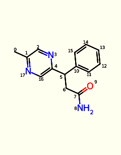 Cc1cnc(C(CC(N)=O)c2ccccc2)cn1